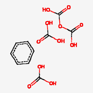 O=C(O)O.O=C(O)O.O=C(O)OC(=O)O.c1ccccc1